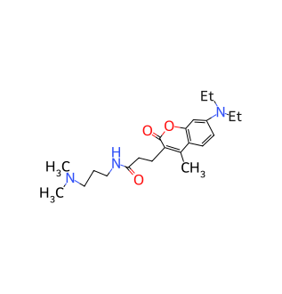 CCN(CC)c1ccc2c(C)c(CCC(=O)NCCCN(C)C)c(=O)oc2c1